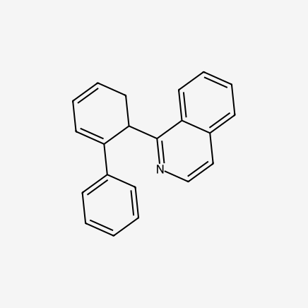 C1=CCC(c2nccc3ccccc23)C(c2ccccc2)=C1